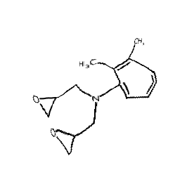 Cc1cccc(N(CC2CO2)CC2CO2)c1C